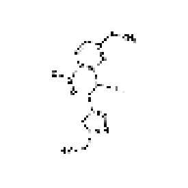 CCc1ncc(CN(C)c2nc(OC)ccc2[N+](=O)[O-])s1